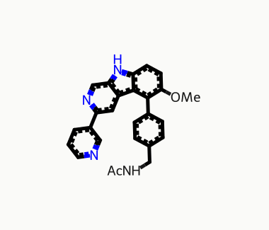 COc1ccc2[nH]c3cnc(-c4cccnc4)cc3c2c1-c1ccc(CNC(C)=O)cc1